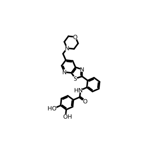 O=C(Nc1ccccc1-c1nc2cc(CN3CCOCC3)cnc2s1)c1ccc(O)c(O)c1